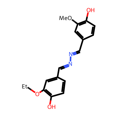 CCOc1cc(/C=N/N=C/c2ccc(O)c(OC)c2)ccc1O